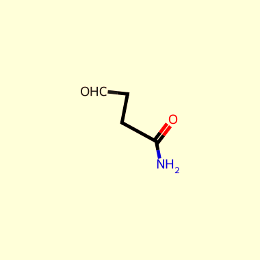 NC(=O)CCC=O